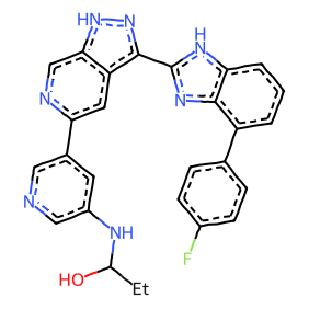 CCC(O)Nc1cncc(-c2cc3c(-c4nc5c(-c6ccc(F)cc6)cccc5[nH]4)n[nH]c3cn2)c1